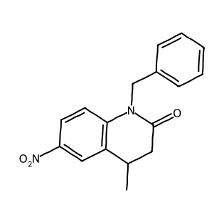 CC1CC(=O)N(Cc2ccccc2)c2ccc([N+](=O)[O-])cc21